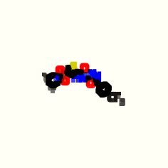 C[C@@H]1C[C@H](C)CN(S(=O)(=O)c2csc(C(=O)Nc3nnc(-c4ccc(C(F)(F)F)cc4)o3)c2)C1